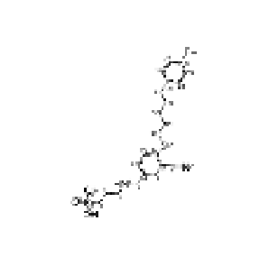 N#Cc1cc(CNCCCP(=O)(O)O)ccc1SCCCCCc1ccc(F)cc1